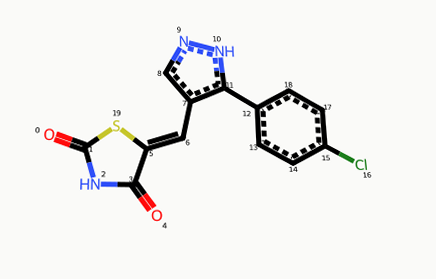 O=C1NC(=O)C(=Cc2cn[nH]c2-c2ccc(Cl)cc2)S1